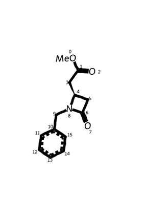 COC(=O)C[C@H]1CC(=O)N1Cc1ccccc1